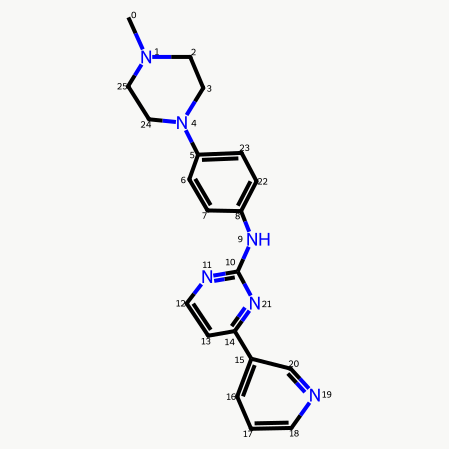 CN1CCN(c2ccc(Nc3nccc(-c4cccnc4)n3)cc2)CC1